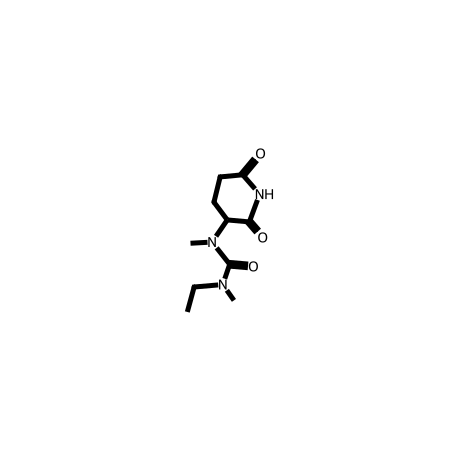 CCN(C)C(=O)N(C)C1CCC(=O)NC1=O